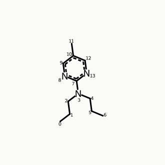 CCCN(CCC)c1ncc(C)cn1